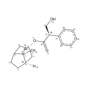 CC(C)[N+]1(C)C2CC[C@@H]1C[C@@H](OC(=O)[C@@H](CO)c1ccccc1)C2